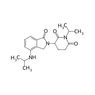 CC(C)Nc1cccc2c1CN(C1CCC(=O)N(C(C)C)C1=O)C2=O